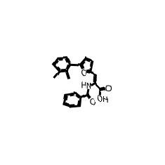 Cc1cccc(-c2ccc(C=C(NC(=O)c3ccccc3)C(=O)O)o2)c1C